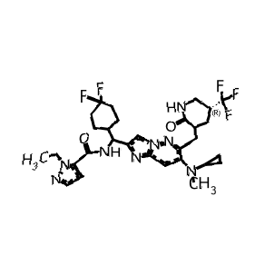 CCn1nccc1C(=O)NC(c1cn2nc(CC3C[C@@H](C(F)(F)F)CNC3=O)c(N(C)C3CC3)cc2n1)C1CCC(F)(F)CC1